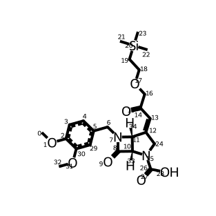 COc1ccc(CN2C(=O)[C@@H]3[C@H]2/C(=C\C(=O)COCC[Si](C)(C)C)CN3C(=O)O)cc1OC